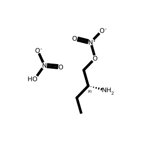 CC[C@@H](N)CO[N+](=O)[O-].O=[N+]([O-])O